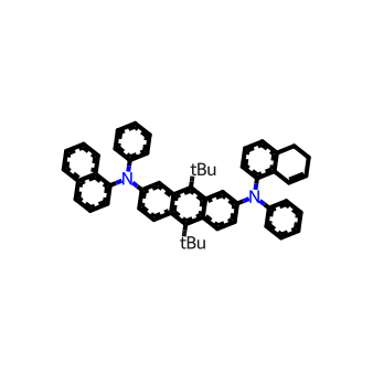 CC(C)(C)c1c2ccc(N(c3ccccc3)c3cccc4c3C=CCC4)cc2c(C(C)(C)C)c2cc(N(c3ccccc3)c3cccc4ccccc34)ccc12